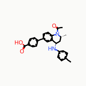 CC(=O)N1c2ccc(-c3ccc(C(=O)O)cc3)cc2[C@@H](Nc2ccc(C)cc2)C[C@H]1C